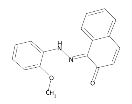 COc1ccccc1N/N=C1/C(=O)C=Cc2ccccc21